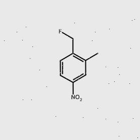 Cc1cc([N+](=O)[O-])ccc1CF